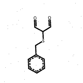 O=CC(C=O)SCc1ccccc1